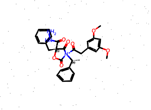 COc1cc(CC(=O)[N+]2([C@H](C)c3ccccc3)C(=O)O[C@](Cc3ccccc3)(C(=O)NN)C2=O)cc(OC)c1